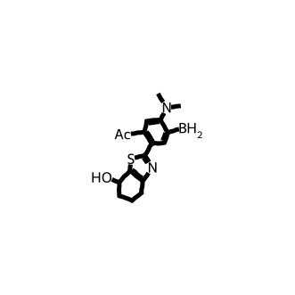 Bc1cc(-c2nc3c(s2)C(O)CCC3)c(C(C)=O)cc1N(C)C